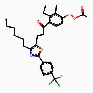 CCCCCCc1nc(-c2ccc(C(F)(F)F)cc2)sc1CCC(=O)c1ccc(OOC(C)=O)c(C)c1CC